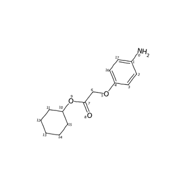 Nc1ccc(OCC(=O)OC2CCCCC2)cc1